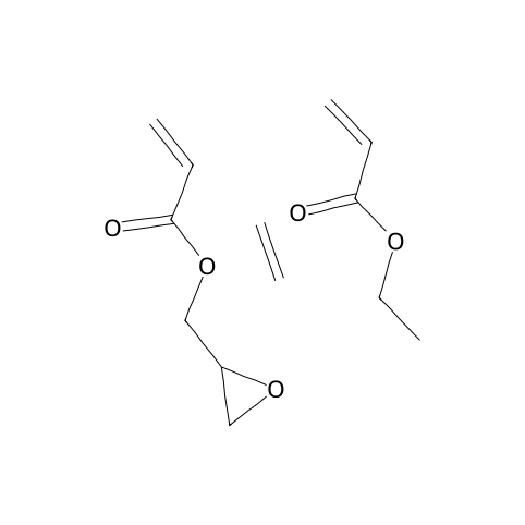 C=C.C=CC(=O)OCC.C=CC(=O)OCC1CO1